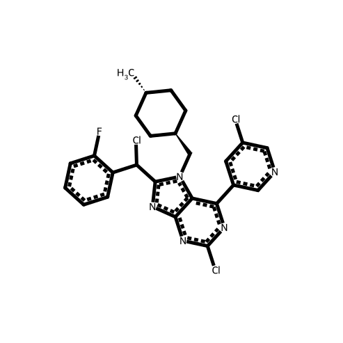 C[C@H]1CC[C@H](Cn2c(C(Cl)c3ccccc3F)nc3nc(Cl)nc(-c4cncc(Cl)c4)c32)CC1